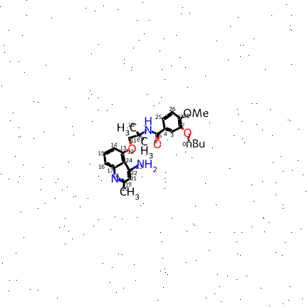 CCCCOc1cc(C(=O)NC(C)(C)COc2cccc3nc(C)cc(N)c23)ccc1OC